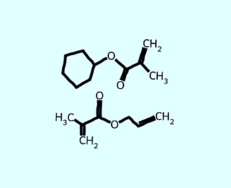 C=C(C)C(=O)OC1CCCCC1.C=CCOC(=O)C(=C)C